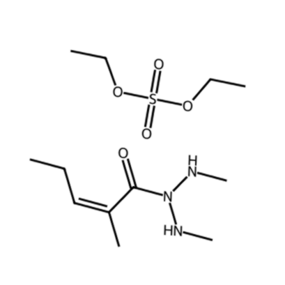 CCC=C(C)C(=O)N(NC)NC.CCOS(=O)(=O)OCC